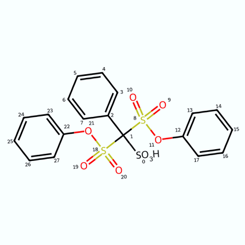 O=S(=O)(O)C(c1ccccc1)(S(=O)(=O)Oc1ccccc1)S(=O)(=O)Oc1ccccc1